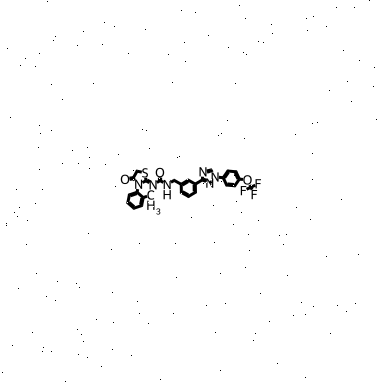 Cc1ccccc1N1C(=O)CSC1=NC(=O)NCc1cccc(-c2ncn(-c3ccc(OC(F)(F)F)cc3)n2)c1